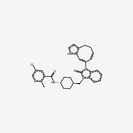 Cc1ncc(Cl)cc1C(=O)N[C@H]1CC[C@H](Cn2c(=O)n(C3=C/c4[nH]ccc4CC/C=C\3)c3ccccc32)CC1